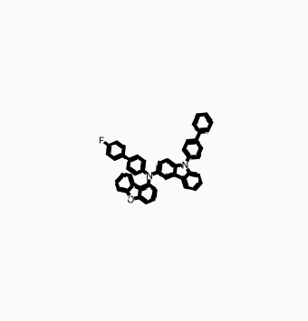 Fc1ccc(-c2ccc(N(c3ccc4c(c3)c3ccccc3n4-c3ccc(-c4ccccc4)cc3)c3cccc4oc5ccccc5c34)cc2)cc1